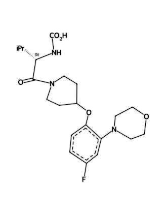 CC(C)[C@H](NC(=O)O)C(=O)N1CCC(Oc2ccc(F)cc2N2CCOCC2)CC1